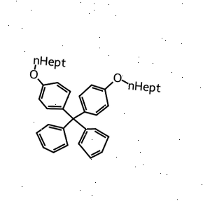 CCCCCCCOc1ccc(C(c2ccccc2)(c2ccccc2)c2ccc(OCCCCCCC)cc2)cc1